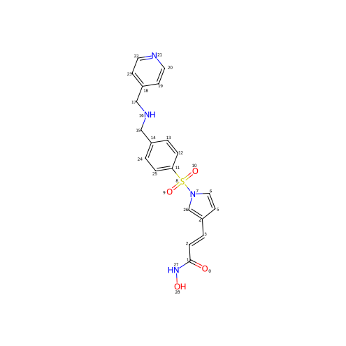 O=C(C=Cc1ccn(S(=O)(=O)c2ccc(CNCc3ccncc3)cc2)c1)NO